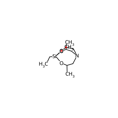 CC[Si]12OC(C)CN(CC(C)O1)CC(C)O2